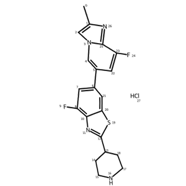 Cc1cn2cc(-c3cc(F)c4nc(C5CCNCC5)sc4c3)cc(F)c2n1.Cl